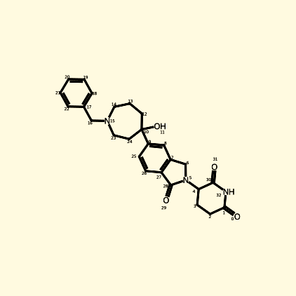 O=C1CCC(N2Cc3cc(C4(O)CCCN(Cc5ccccc5)CC4)ccc3C2=O)C(=O)N1